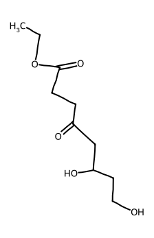 CCOC(=O)CCC(=O)CC(O)CCO